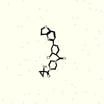 O=C(C1CCC(c2ccc3c(n2)CCO3)CC1Cl)N1CCN(C(=O)C2(O)CC2)CC1